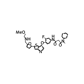 COCCNCc1ccc(-c2cc3nccc(Oc4ccc(NC(=O)CC(=O)N(C)c5ccccc5)cc4F)c3s2)o1